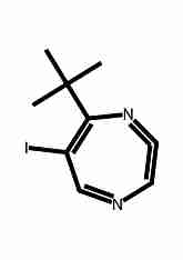 CC(C)(C)C1=C(I)C=NC=C=N1